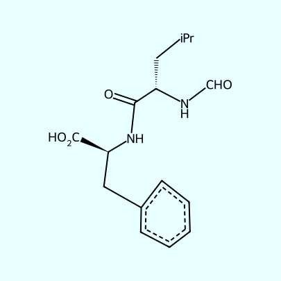 CC(C)C[C@H](NC=O)C(=O)N[C@@H](Cc1ccccc1)C(=O)O